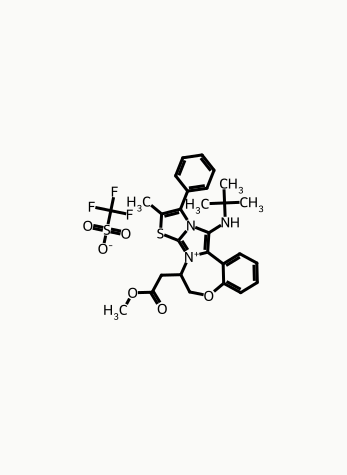 COC(=O)CC1COc2ccccc2-c2c(NC(C)(C)C)n3c(-c4ccccc4)c(C)sc3[n+]21.O=S(=O)([O-])C(F)(F)F